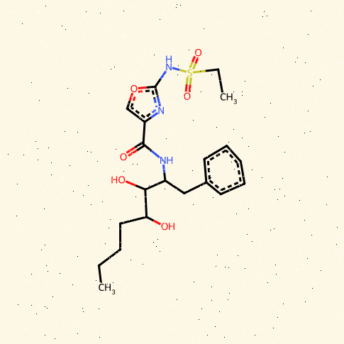 CCCCC(O)C(O)C(Cc1ccccc1)NC(=O)c1coc(NS(=O)(=O)CC)n1